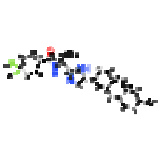 CC(=O)c1ccc2cc3cc(-c4cnc(C(NC(=O)C5CCC(F)(F)CC5)C(C)(C)C)[nH]4)ccc3cc2c1